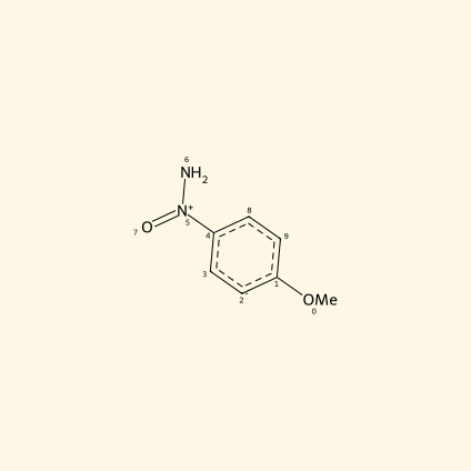 COc1[c]cc([N+](N)=O)cc1